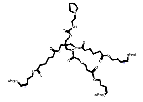 CCCCC/C=C\CCOC(=O)CCCCC(=O)OCC(COC(=O)CCCCC(=O)OCC/C=C\CCCCC)(COC(=O)CCCCC(=O)OCC/C=C\CCCCC)COC(=O)NCCN1CCCC1